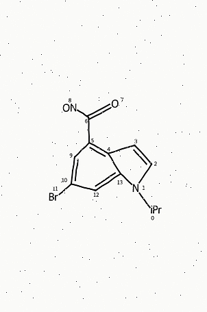 CC(C)n1ccc2c(C(=O)N=O)cc(Br)cc21